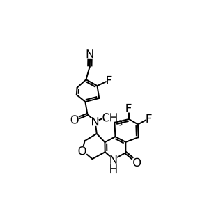 CN(C(=O)c1ccc(C#N)c(F)c1)C1COCc2[nH]c(=O)c3cc(F)c(F)cc3c21